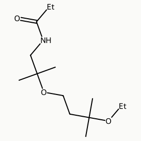 CCOC(C)(C)CCOC(C)(C)CNC(=O)CC